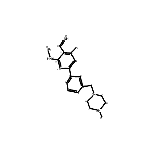 Cc1cc(-c2cccc(CN3CCN(C)CC3)c2)nc(NC(C)C)c1C=N